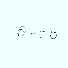 CC(C)(C(=O)NC1C2CC3CC1CC(C(=O)O)(C3)C2)N1CCN(c2cccc(Cl)c2Cl)CC1